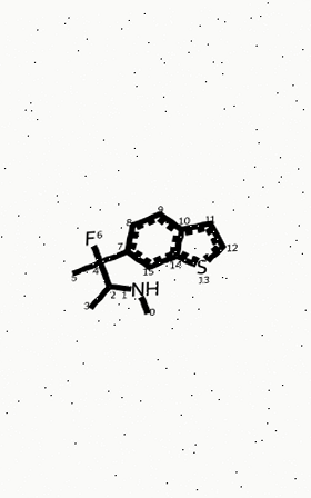 CNC(C)C(C)(F)c1ccc2ccsc2c1